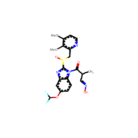 COc1ccnc(C[S+]([O-])c2nc3cc(OC(F)F)ccc3n2C(=O)C(C)C=NO)c1OC